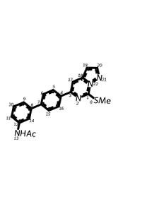 CSc1nc(-c2ccc(-c3cccc(NC(C)=O)c3)cc2)cc2ccnn12